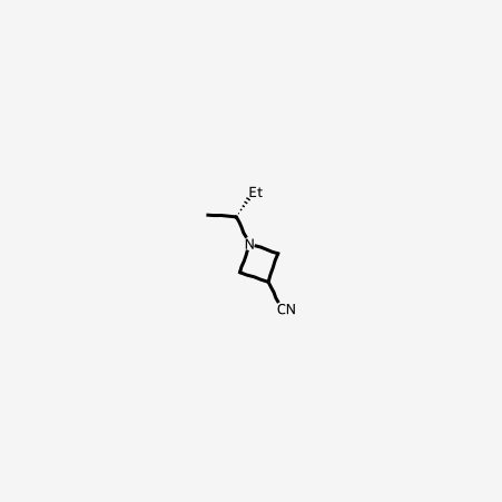 CC[C@@H](C)N1CC(C#N)C1